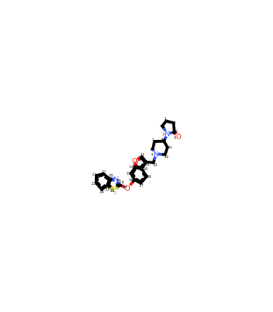 O=C1CCCN1C1CCN(Cc2coc3cc(Oc4nc5ccccc5s4)ccc23)CC1